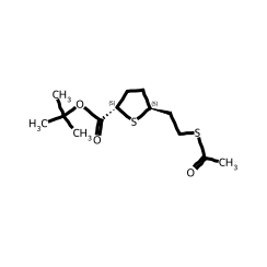 CC(=O)SCC[C@@H]1CC[C@@H](C(=O)OC(C)(C)C)S1